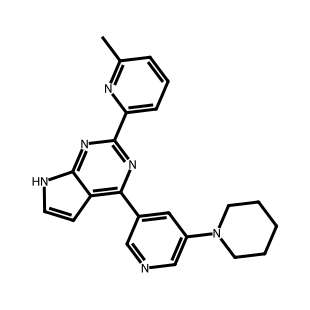 Cc1cccc(-c2nc(-c3cncc(N4CCCCC4)c3)c3cc[nH]c3n2)n1